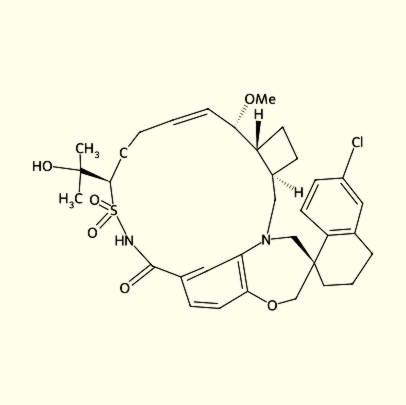 CO[C@H]1/C=C/CC[C@H](C(C)(C)O)S(=O)(=O)NC(=O)c2ccc3c(c2)N(C[C@@H]2CC[C@H]21)C[C@@]1(CCCc2cc(Cl)ccc21)CO3